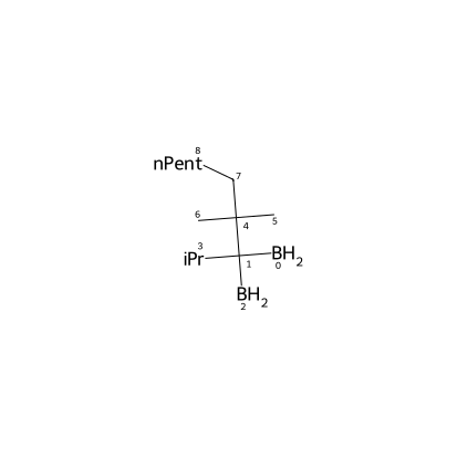 BC(B)(C(C)C)C(C)(C)CCCCCC